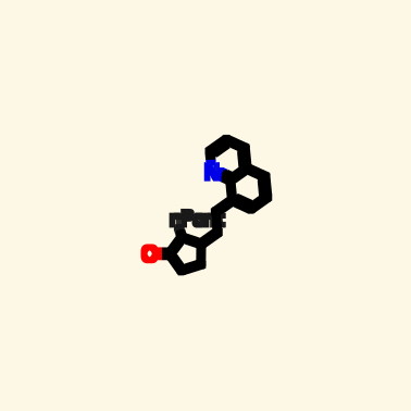 CCCCCC1C(=O)CCC1CCc1cccc2cccnc12